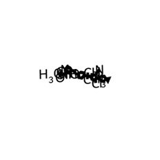 CC(C)(c1ccc(OCc2ccnc(NS(C)(=O)=O)n2)cc1)c1cc(Cl)c(N2CCC3(CC2)CC3)c(C#N)c1